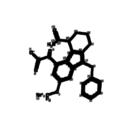 COc1cc(C(=O)C(=O)[O-])c2c3c(n(Cc4ccccc4)c2c1)CCCC3C(N)=O.[Na+]